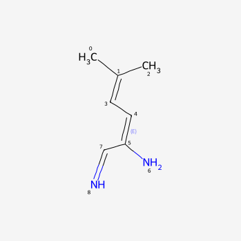 CC(C)=C/C=C(/N)C=N